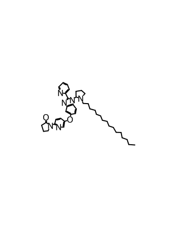 CCCCCCCCCCCCCCCCN1CCCC1n1c(-c2ccccn2)nc2cc(Oc3ccc(N4CCCC4=O)nc3)ccc21